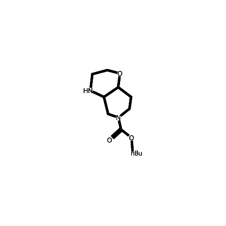 CCCCOC(=O)N1CCC2OCCNC2C1